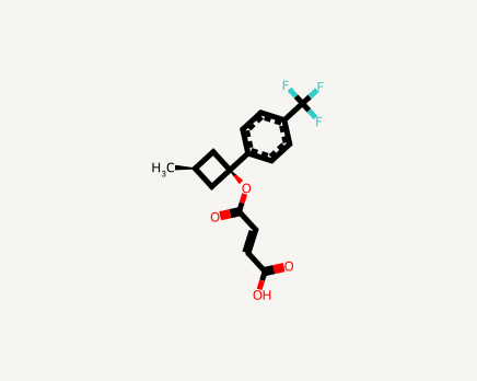 C[C@H]1C[C@](OC(=O)/C=C/C(=O)O)(c2ccc(C(F)(F)F)cc2)C1